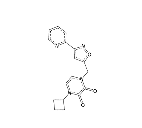 O=c1c(=O)n(C2CCC2)ccn1Cc1cc(-c2ccccn2)no1